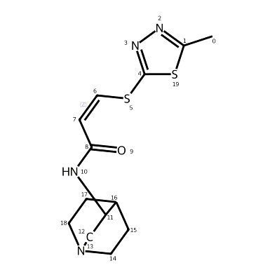 Cc1nnc(S/C=C\C(=O)NC2CN3CCC2CC3)s1